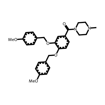 COc1ccc(COc2ccc(C(=O)N3CCN(C)CC3)cc2OCc2ccc(OC)cc2)cc1